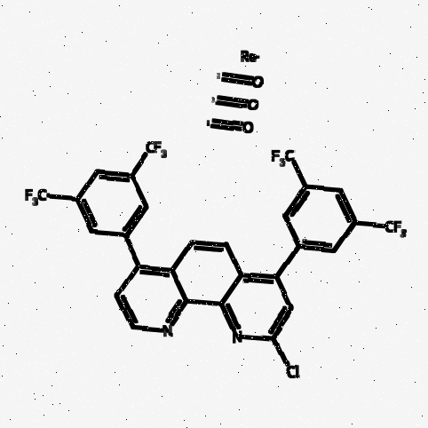 FC(F)(F)c1cc(-c2ccnc3c2ccc2c(-c4cc(C(F)(F)F)cc(C(F)(F)F)c4)cc(Cl)nc23)cc(C(F)(F)F)c1.[C]=O.[C]=O.[C]=O.[Re]